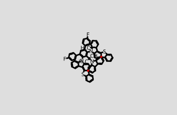 CC12C=CC=CC1c1c(ccc3c1sc1ccccc13)N2c1c(-c2ccc(F)cc2)cc(-c2ccc(F)cc2)c(-n2c3ccccc3c3c4sc5ccccc5c4ccc32)c1C(C)(C)n1c2ccccc2c2ccccc21